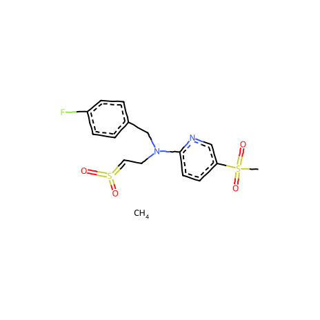 C.CS(=O)(=O)c1ccc(N(CC=S(=O)=O)Cc2ccc(F)cc2)nc1